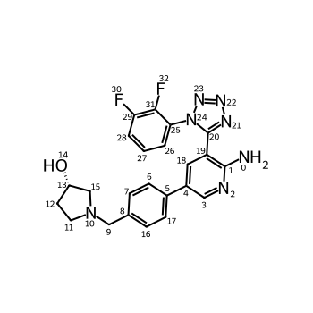 Nc1ncc(-c2ccc(CN3CC[C@H](O)C3)cc2)cc1-c1nnnn1-c1cccc(F)c1F